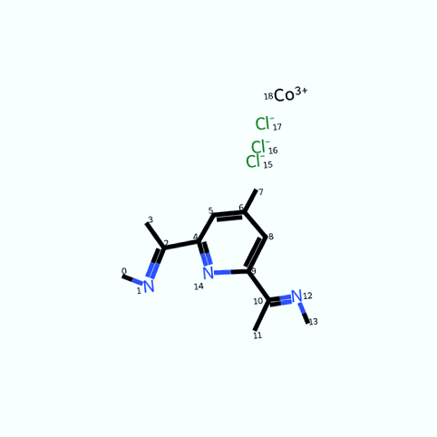 CN=C(C)c1cc(C)cc(C(C)=NC)n1.[Cl-].[Cl-].[Cl-].[Co+3]